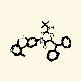 Cc1cncc(C)c1-c1ccc(NC(=O)[C@@H](OC(=O)NC(C)(C)C)C(c2ccccc2)c2ccccc2)cc1F